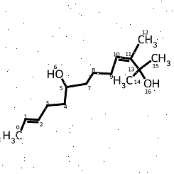 CC=CCCC(O)CCCC=C(C)C(C)(C)O